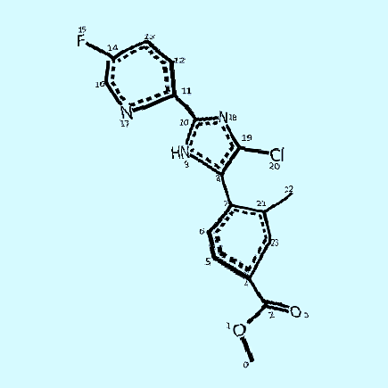 COC(=O)c1ccc(-c2[nH]c(-c3ccc(F)cn3)nc2Cl)c(C)c1